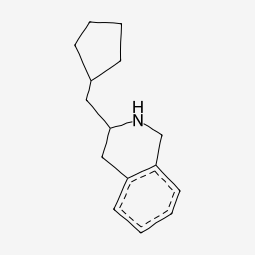 c1ccc2c(c1)CNC(CC1CCCC1)C2